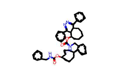 O=C(NCc1ccccc1)OC1/C=C/CC(c2ccccc2CNC(=O)OC2CCCCCC3C(c4ccccc4)=NN=C(c4ccccc4)C23)CCC1